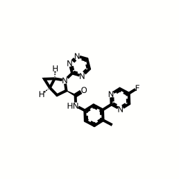 Cc1ccc(NC(=O)[C@H]2C[C@H]3C[C@H]3N2c2nccnn2)cc1-c1ncc(F)cn1